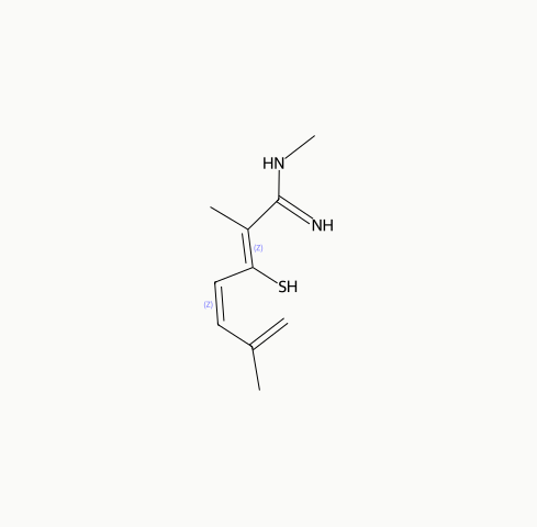 C=C(C)/C=C\C(S)=C(/C)C(=N)NC